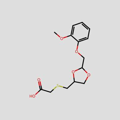 COc1ccccc1OCC1OCC(CSCC(=O)O)O1